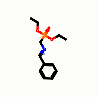 CCOP(=O)(C/N=C/c1ccccc1)OCC